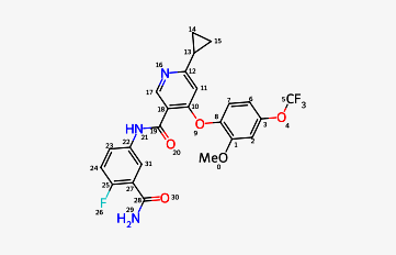 COc1cc(OC(F)(F)F)ccc1Oc1cc(C2CC2)ncc1C(=O)Nc1ccc(F)c(C(N)=O)c1